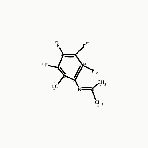 CC(C)=Nc1c(C)c(F)c(F)c(F)c1F